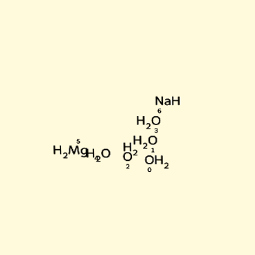 O.O.O.O.O.[MgH2].[NaH]